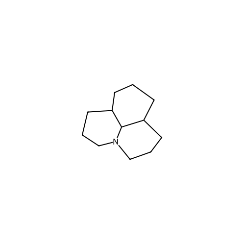 C1CC2CCCN3CCCC(C1)C23